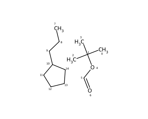 CC(C)(C)OC=O.CCCC1CCCC1